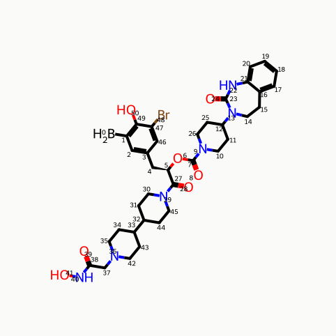 Bc1cc(C[C@@H](OC(=O)N2CCC(N3CCc4ccccc4NC3=O)CC2)C(=O)N2CCC(C3CCN(CC(=O)NO)CC3)CC2)cc(Br)c1O